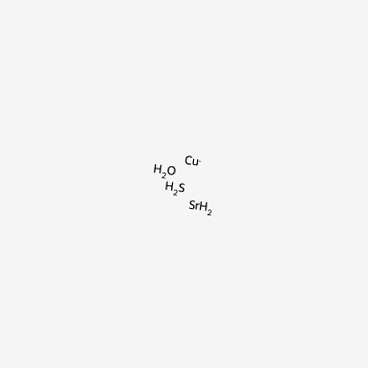 O.S.[Cu].[SrH2]